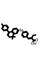 CC/C(=C\c1ccc([Se]c2ccc3c(c2)C(C)(C)CC=C3c2ccc(C)cc2)cc1)C(=O)O